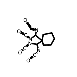 O=C=NC(N=C=O)C1(C(N=C=O)N=C=O)CCCCC1